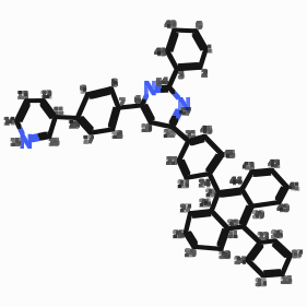 c1ccc(-c2nc(-c3ccc(-c4cccnc4)cc3)cc(-c3ccc(-c4c5ccccc5c(-c5ccccc5)c5ccccc45)cc3)n2)cc1